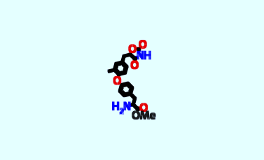 COC(=O)C(N)Cc1ccc(Oc2ccc(CC3OC(=O)NC3=O)cc2C)cc1